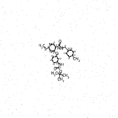 CSc1ncc(C(=O)NCc2ccc(C)cc2)c(Oc2cccc(NC(=O)OC(C)(C)C)c2)n1